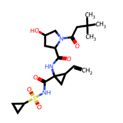 C=CC1CC1(NC(=O)C1CC(O)CN1C(=O)CC(C)(C)C)C(=O)NS(=O)(=O)C1CC1